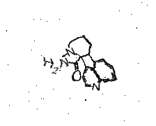 CN1CCCC(c2ccccc2)C1(C(N)=O)c1ccncc1